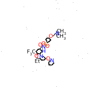 CC[C@@H](Oc1ccc(C(=O)NS(=O)(=O)c2ccc(OCCN(C)C)cc2)cc1C(F)(F)F)c1ccc(Oc2ccccn2)cn1